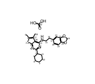 Cc1sc2nc(C3CCCCC3)nc(NCCc3ccc4c(c3)OCO4)c2c1C.O=C(O)O